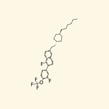 CCCCCC[C@H]1CC[C@H](CCc2ccc3c(F)c(-c4ccc(OC(F)(F)F)c(F)c4)ccc3c2)CC1